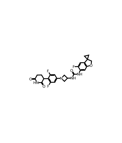 O=C1CCC(c2c(F)cc(N3CC(NC(=O)Nc4cc5c(cc4F)C4(CC4)CO5)C3)cc2F)C(=O)N1